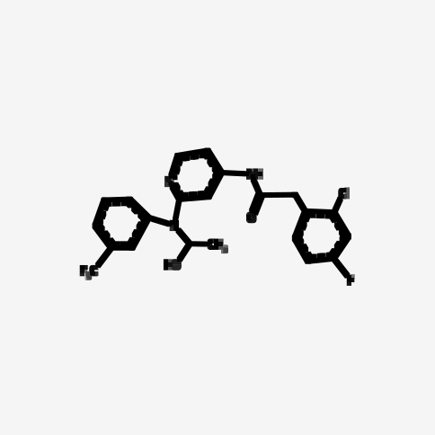 CC(O)N(c1cccc(C(F)(F)F)c1)c1cc(NC(=O)Cc2ccc(F)cc2Cl)ccn1